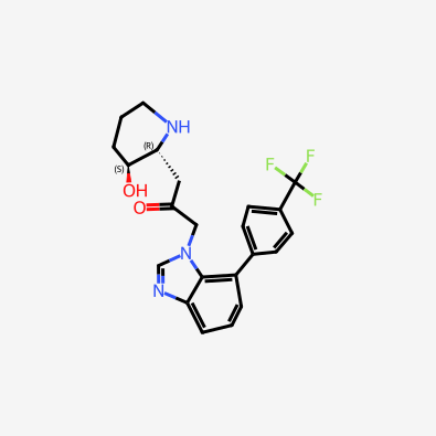 O=C(C[C@H]1NCCC[C@@H]1O)Cn1cnc2cccc(-c3ccc(C(F)(F)F)cc3)c21